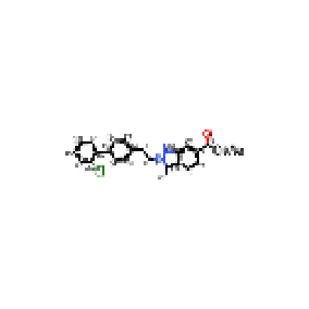 COC(=O)c1ccc2c(C)n(CCc3ccc(-c4ccccc4Cl)cc3)nc2c1